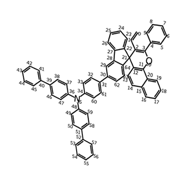 C=CC1=C(c2ccccc2)Oc2c(ccc3ccccc23)C12c1ccccc1-c1cc(-c3ccc(N(c4ccc(-c5ccccc5)cc4)c4ccc(-c5ccccc5)cc4)cc3)ccc12